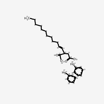 CCCCCCCCCCC=CC(CC(=O)[O-])C(=O)[O-].[Hg+][c]1ccccc1.[Hg+][c]1ccccc1